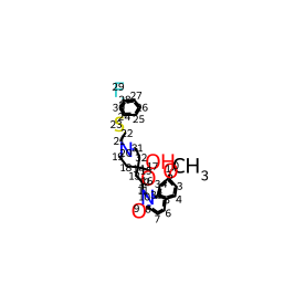 COc1ccc2ccc(=O)n(CCCC3(C(=O)O)CCN(CCSc4cccc(F)c4)CC3)c2c1